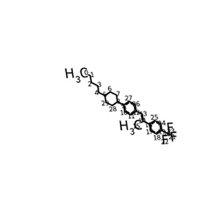 CCCCCC1CCC(c2ccc(/C=C(\C)c3ccc(C(F)(F)F)cc3)cc2)CC1